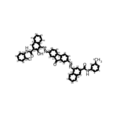 Cc1cccc(NC(=O)c2cc(N=Nc3ccc4c(c3)C(=O)c3cc(N=Nc5c(O)c(C(=O)Nc6ccccc6Cl)cc6ccccc56)ccc3-4)c3ccccc3c2)c1